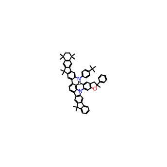 CC(C)(C)c1ccc(N2B3c4cc5c(cc4-n4c6cc7c(cc6c6ccc(c3c64)-c3cc4c(cc32)-c2cc3c(cc2C4(C)C)C(C)(C)CCC3(C)C)C(C)(C)c2ccccc2-7)OC(C)(c2ccccc2)C5)cc1